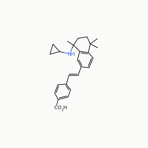 CC1(C)CCC(C)(NC2CC2)c2cc(C=Cc3ccc(C(=O)O)cc3)ccc21